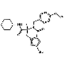 CC(C)Oc1ccc(CN2C(=O)c3cc(C(C)(C)C)nn3CC2(C)C(=O)NC2CCCCC2)cc1